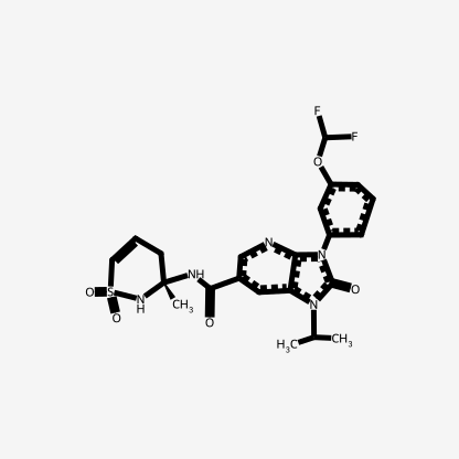 CC(C)n1c(=O)n(-c2cccc(OC(F)F)c2)c2ncc(C(=O)N[C@@]3(C)CC=CS(=O)(=O)N3)cc21